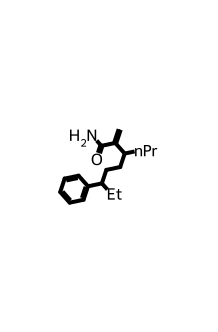 C=C(C(N)=O)C(CCC)CCC(CC)c1ccccc1